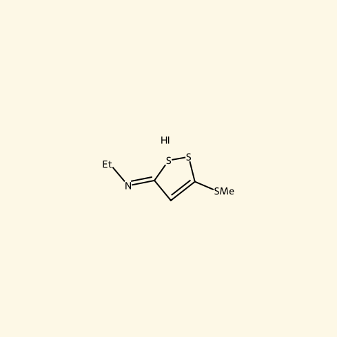 CC/N=c1/cc(SC)ss1.I